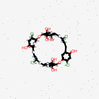 Oc1cc(Cl)c2cc1C/C=C(/Cl)Cc1cc(O)c(c(O)c1Br)Oc1cc(c(O)cc1Cl)C/C=C(/Cl)Cc1cc(O)c(c(O)c1)O2